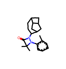 Cc1ccccc1N1N(C2CCC3CC4CC2CC34)C(=O)C1(C)C